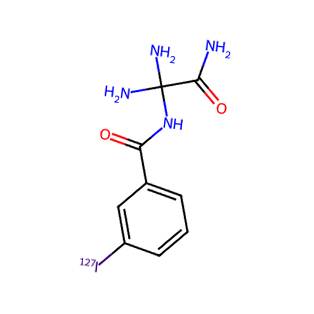 NC(=O)C(N)(N)NC(=O)c1cccc([127I])c1